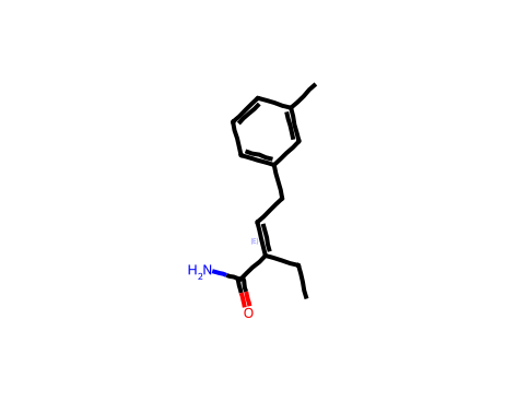 CC/C(=C\Cc1cccc(C)c1)C(N)=O